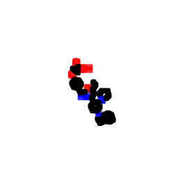 CCCCC(NC(=O)Cc1ccc(OC(C)(C)C(=O)O)cc1)c1ccc(-n2ccc3ccccc32)cc1N1CCCCC1